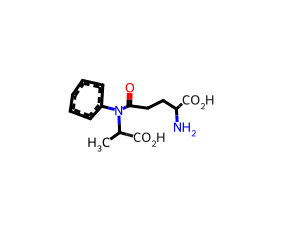 CC(C(=O)O)N(C(=O)CCC(N)C(=O)O)c1ccccc1